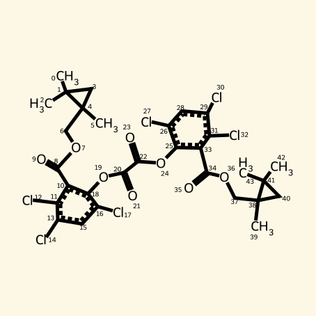 CC1(C)CC1(C)COC(=O)c1c(Cl)c(Cl)cc(Cl)c1OC(=O)C(=O)Oc1c(Cl)cc(Cl)c(Cl)c1C(=O)OCC1(C)CC1(C)C